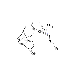 CC(C)CN/C=C/[C@@H](C)[C@H]1CCC2CC3C4CC=C5C[C@@H](O)CC[C@]5(C)[C@@]43CC[C@@]21C